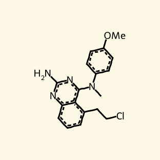 COc1ccc(N(C)c2nc(N)nc3cccc(CCCl)c23)cc1